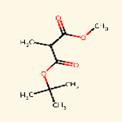 COC(=O)[C](C)C(=O)OC(C)(C)C